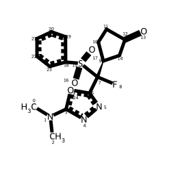 CN(C)c1nnc(C(F)([C@H]2CCC(=O)C2)S(=O)(=O)c2ccccc2)o1